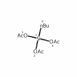 CCCC[Si](OC(C)=O)(OC(C)=O)OC(C)=O